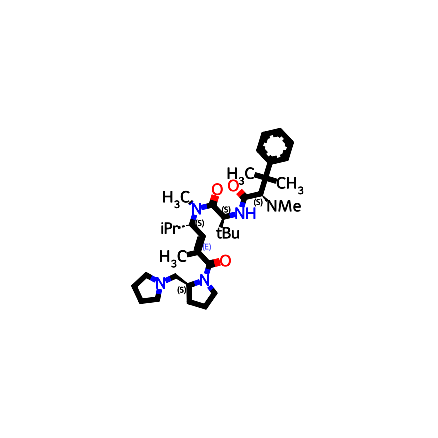 CN[C@H](C(=O)N[C@H](C(=O)N(C)[C@H](/C=C(\C)C(=O)N1CCC[C@H]1CN1CCCC1)C(C)C)C(C)(C)C)C(C)(C)c1ccccc1